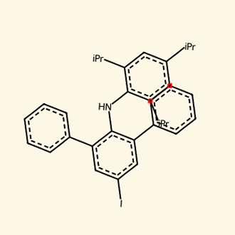 CC(C)c1cc(C(C)C)c(Nc2c(-c3ccccc3)cc(I)cc2-c2ccccc2)c(C(C)C)c1